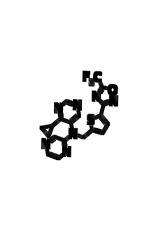 FC(F)(F)c1nc(-c2ccc(CN(c3cnccn3)c3cncnc3C3CC3)s2)no1